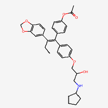 CCC(=C(c1ccc(OCC(O)CNC2CCCC2)cc1)c1ccc(OC(C)=O)cc1)c1ccc2c(c1)OCO2